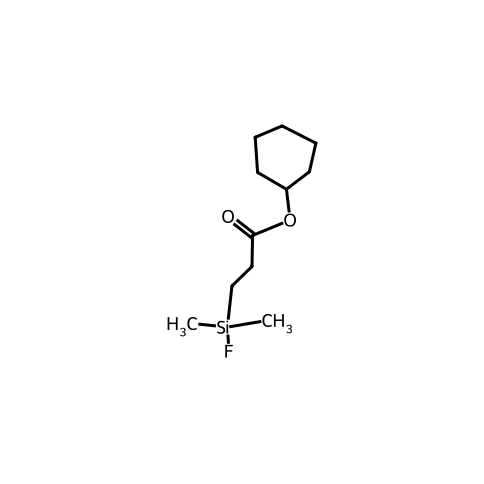 C[Si](C)(F)CCC(=O)OC1CCCCC1